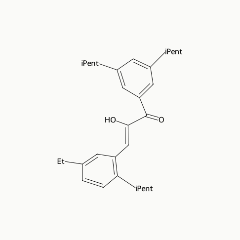 CCCC(C)c1cc(C(=O)C(O)=Cc2cc(CC)ccc2C(C)CCC)cc(C(C)CCC)c1